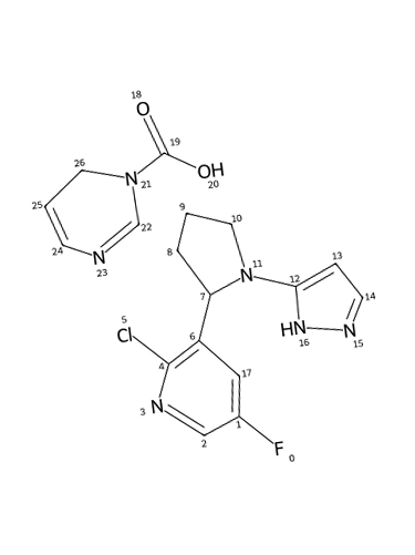 Fc1cnc(Cl)c(C2CCCN2c2ccn[nH]2)c1.O=C(O)N1C=NC=CC1